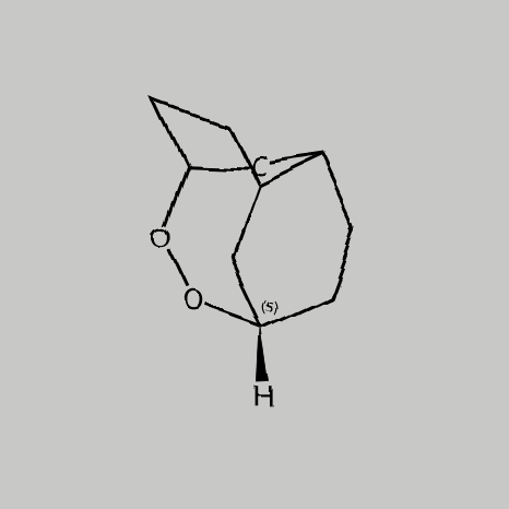 C1CC2C[C@@H]3CCC2CC1OO3